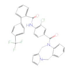 O=C(Nc1ccc(C(=O)N2Cc3cccn3Cc3ccccc32)cc1Cl)c1ccccc1-c1ccc(C(F)(F)F)cc1